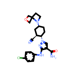 N#C[C@H]1C[C@@H](N2CCC23COC3)CC[C@@H]1n1cc(C(N)=O)c(Nc2ccc(Cl)cc2)n1